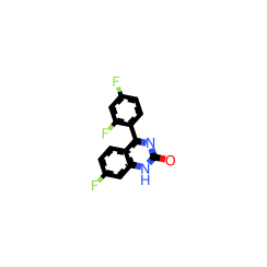 O=c1nc(-c2ccc(F)cc2F)c2ccc(F)cc2[nH]1